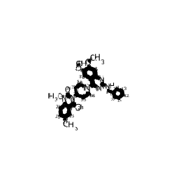 COc1cc2nc(NCc3ccccc3)nc(N3CCC(n4c(=O)c5cc(C)ccc5n(C)c4=O)CC3)c2cc1OC